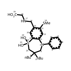 CCCCC1(CCCC)CN(c2ccccc2)c2cc(SC)c(CNCC(=O)O)cc2S(O)(O)C1